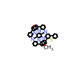 Cc1ccc2c(c1)c1c3sc4ccccc4c3ccc1n2-c1c(C#N)c(-n2c3ccccc3c3ccccc32)c(-n2c3ccccc3c3ccccc32)c(C#N)c1-n1c2ccccc2c2ccccc21